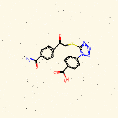 NC(=O)c1ccc(C(=O)CSc2nnnn2-c2ccc(C(=O)O)cc2)cc1